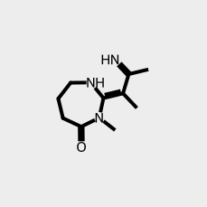 CC(=N)/C(C)=C1\NCCCC(=O)N1C